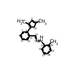 CC1=CC(C)=C(c2ccccc2C=NNc2ccccc2C)C1